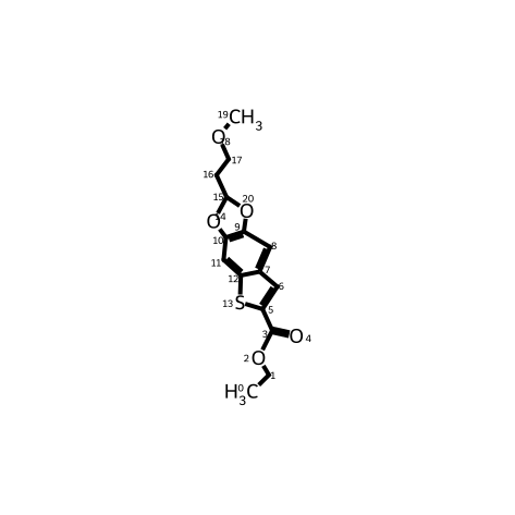 CCOC(=O)c1cc2cc3c(cc2s1)OC(CCOC)O3